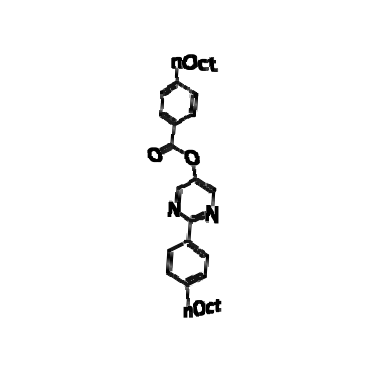 CCCCCCCCc1ccc(C(=O)Oc2cnc(-c3ccc(CCCCCCCC)cc3)nc2)cc1